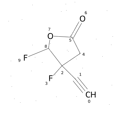 C#CC1(F)CC(=O)OC1F